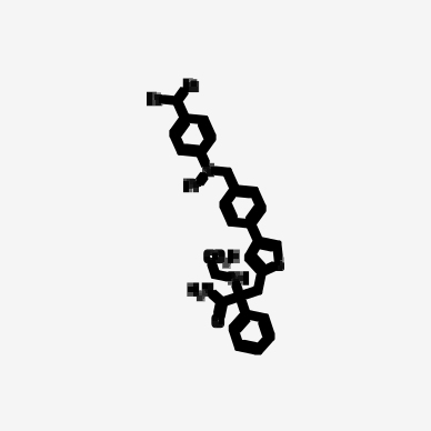 CCC(CC)c1ccc(N(Cc2ccc(-c3csc(CC(NCC(=O)O)(C(N)=O)c4ccccc4)c3)cc2)C(C)C)cc1